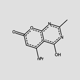 CCCc1cc(=O)oc2nc(C)nc(O)c12